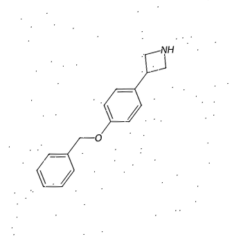 c1ccc(COc2ccc(C3CNC3)cc2)cc1